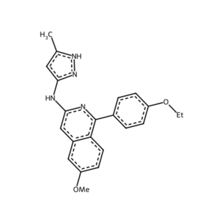 CCOc1ccc(-c2nc(Nc3cc(C)[nH]n3)cc3cc(OC)ccc23)cc1